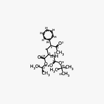 CC(=O)C(CC(NC(=O)OC(C)(C)C)C(=O)OC(C)C)c1ccccc1